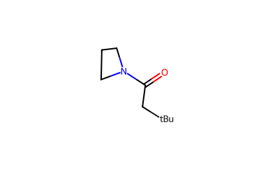 [CH2]C(C)(C)CC(=O)N1CCC1